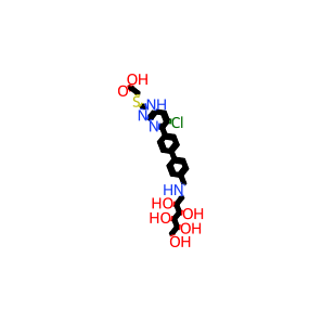 O=C(O)CSc1nc2nc(-c3ccc(-c4ccc(CNCC(O)C(O)C(O)C(O)CO)cc4)cc3)c(Cl)cc2[nH]1